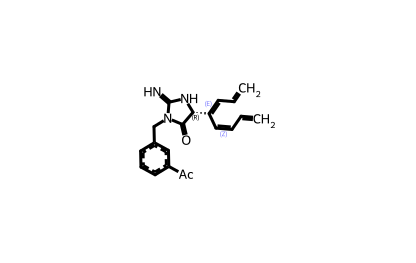 C=C/C=C\C(=C/C=C)[C@H]1NC(=N)N(Cc2cccc(C(C)=O)c2)C1=O